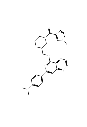 CN(C)c1ccc(-c2cc3nccnc3c(OCC3CN(C(=O)c4cnn(C)c4)CCO3)n2)cc1